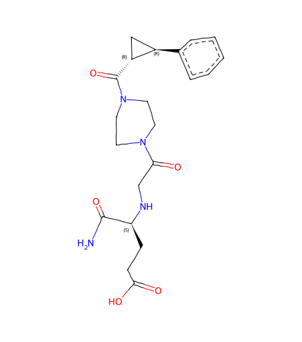 NC(=O)[C@H](CCC(=O)O)NCC(=O)N1CCN(C(=O)[C@@H]2C[C@H]2c2ccccc2)CC1